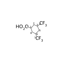 O=C(O)C1CC(C(F)(F)F)CC(C(F)(F)F)C1